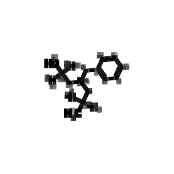 [2H]C([2H])(C)CN(Cc1ccccc1)CC([2H])([2H])O